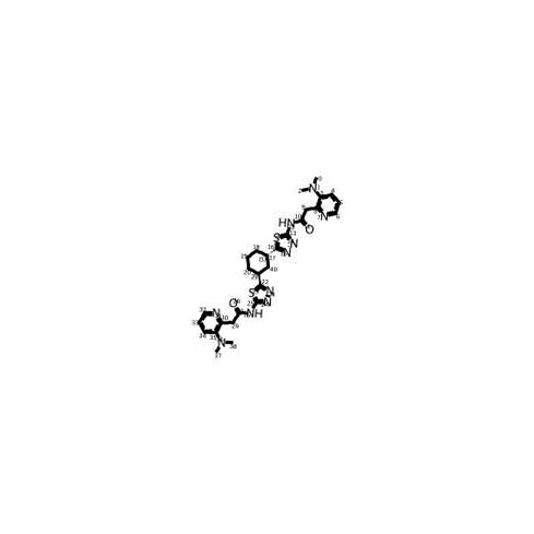 CN(C)c1cccnc1CC(=O)Nc1nnc([C@H]2CCC[C@H](c3nnc(NC(=O)Cc4ncccc4N(C)C)s3)C2)s1